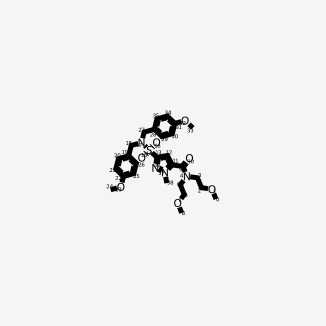 COCCN(CCOC)C(=O)c1cc(S(=O)(=O)N(Cc2ccc(OC)cc2)Cc2ccc(OC)cc2)nn1C